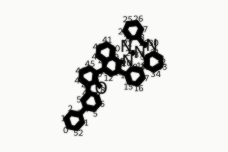 c1ccc(-c2ccc3oc4c(-c5cc6c7ccccc7n(-c7nc8ccccc8c8nc9ccccc9n78)c6c6ccccc56)cccc4c3c2)cc1